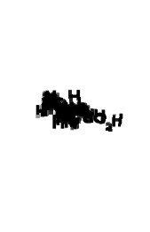 O=C(O)NC1CCC(Nc2cc(NC3CC3)c3ncc(C(=O)Nc4ccncc4F)n3n2)CC1